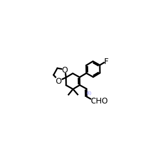 CC1(C)CC2(CC(c3ccc(F)cc3)=C1/C=C/C=O)OCCO2